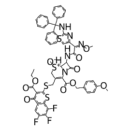 CCOC(=O)c1c(SCC2=C(C(=O)OCc3ccc(OC)cc3)N3C(=O)C(NC(=O)/C(=N\OC)c4csc(NC(c5ccccc5)(c5ccccc5)c5ccccc5)n4)[C@@H]3[S+]([O-])C2)sc2c(F)c(F)c(F)cc2c1=O